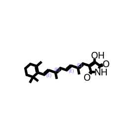 CC1=C(/C=C/C(C)=C/C=C/C(C)=C/C2=C(O)C(=O)NC2=O)C(C)(C)CCC1